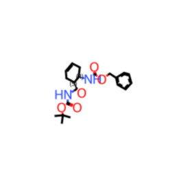 CC(C)(C)OC(=O)NC(=O)[C@H]1CC=CC[C@H]1NC(=O)OCc1ccccc1